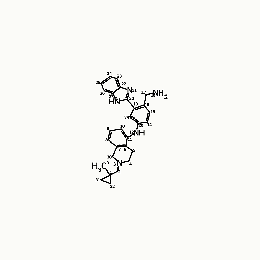 CC1(CN2CCc3c(cccc3Nc3ccc(CN)c(-c4nc5ccccc5[nH]4)c3)C2)CC1